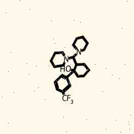 OC1(c2cccc(C(F)(F)F)c2)CCCCC1C(N1CCCCC1)N1CCCCC1